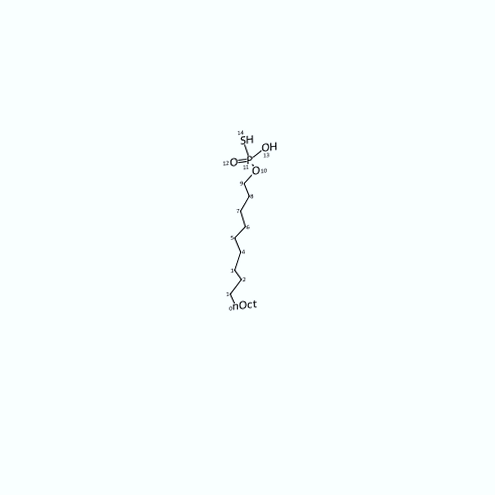 CCCCCCCCCCCCCCCCCOP(=O)(O)S